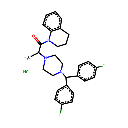 CC(C(=O)N1CCCc2ccccc21)N1CCN(C(c2ccc(F)cc2)c2ccc(F)cc2)CC1.Cl